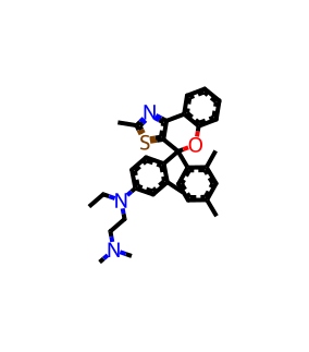 CCN(CCN(C)C)c1ccc(C2(c3ccc(C)cc3C)Oc3ccccc3-c3nc(C)sc32)c(C)c1